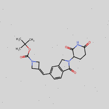 CC(C)(C)OC(=O)N1CC(=Cc2ccc3c(c2)CN(C2CCC(=O)NC2=O)C3=O)C1